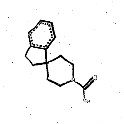 O=C(O)N1CCC2(CCc3ccccc32)CC1